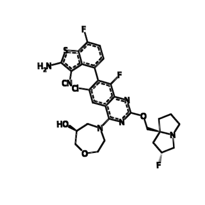 N#Cc1c(N)sc2c(F)ccc(-c3c(Cl)cc4c(N5CCOC[C@@H](O)C5)nc(OC[C@@]56CCCN5C[C@H](F)C6)nc4c3F)c12